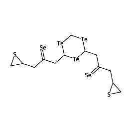 [Se]=C(CC1CS1)CC1[Te]C[Te]C(CC(=[Se])CC2CS2)[Te]1